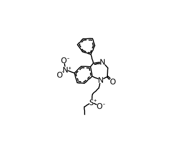 CC[S+]([O-])CCN1C(=O)CN=C(c2ccccc2)c2cc([N+](=O)[O-])ccc21